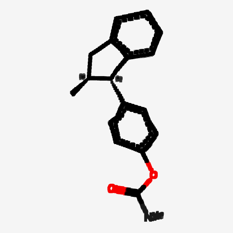 CNC(=O)Oc1ccc([C@H]2c3ccccc3C[C@@H]2C)cc1